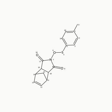 Cc1ccc(SON2C(=O)C3C4C=CC(C4)C3C2=O)cc1